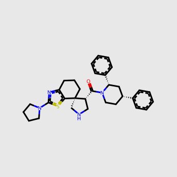 O=C([C@@H]1CNC[C@]12CCCc1nc(N3CCCC3)sc12)N1CC[C@@H](c2ccccc2)C[C@H]1c1ccccc1